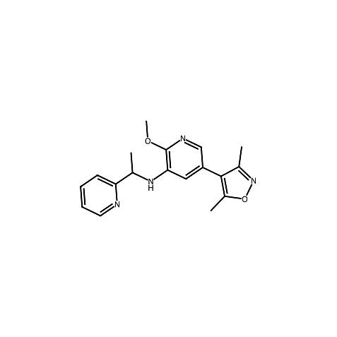 COc1ncc(-c2c(C)noc2C)cc1NC(C)c1ccccn1